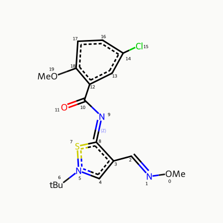 CON=Cc1cn(C(C)(C)C)s/c1=N\C(=O)c1cc(Cl)ccc1OC